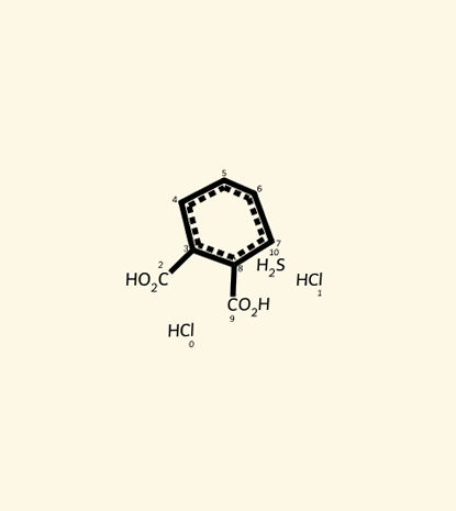 Cl.Cl.O=C(O)c1ccccc1C(=O)O.S